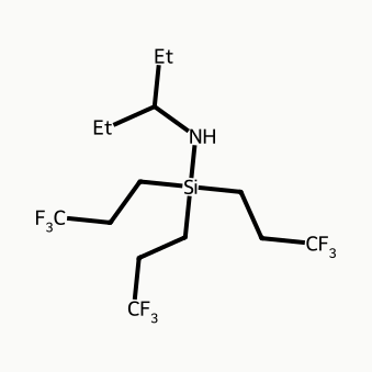 CCC(CC)N[Si](CCC(F)(F)F)(CCC(F)(F)F)CCC(F)(F)F